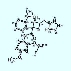 COc1ccc(NC(=O)C2(c3ccccc3C(C)C)CC(Cc3nnn[nH]3)C2)c(OC(F)F)n1